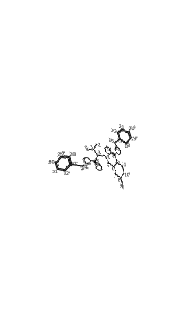 CC(C)C(CCC1CC(I)CCC1C(=O)OCc1ccccc1)C(=O)OCc1ccccc1